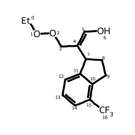 CCOOC/C(=C/O)C1CCc2c1cccc2C(F)(F)F